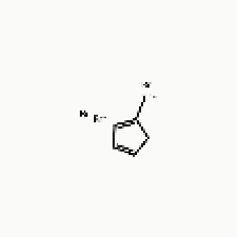 [Br-].[Br-].[Br-].[Ti+3][C]1=CC=CC1